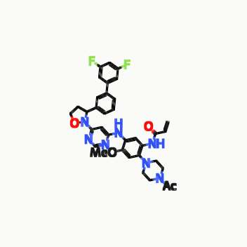 C=CC(=O)Nc1cc(Nc2cc(N3OCCC3c3cccc(-c4cc(F)cc(F)c4)c3)ncn2)c(OC)cc1N1CCN(C(C)=O)CC1